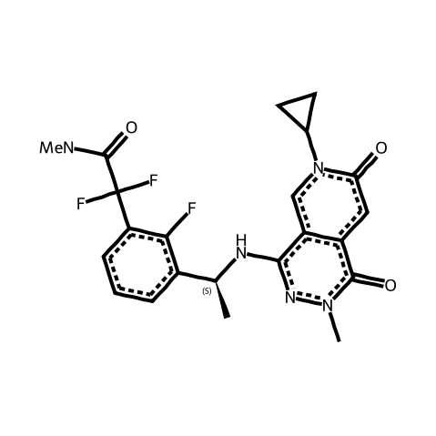 CNC(=O)C(F)(F)c1cccc([C@H](C)Nc2nn(C)c(=O)c3cc(=O)n(C4CC4)cc23)c1F